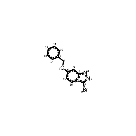 Brc1nnc2cc(OCc3ccccc3)ccn12